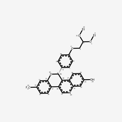 CCOC(COc1ccc([C@H]2Oc3cc(C(F)(F)F)ccc3-c3cnc4cc(O)ccc4c32)cc1)OCC